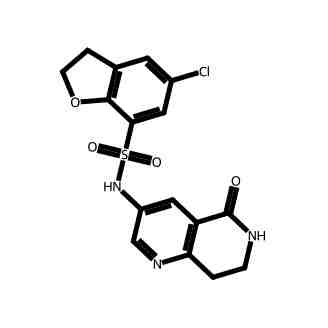 O=C1NCCc2ncc(NS(=O)(=O)c3cc(Cl)cc4c3OCC4)cc21